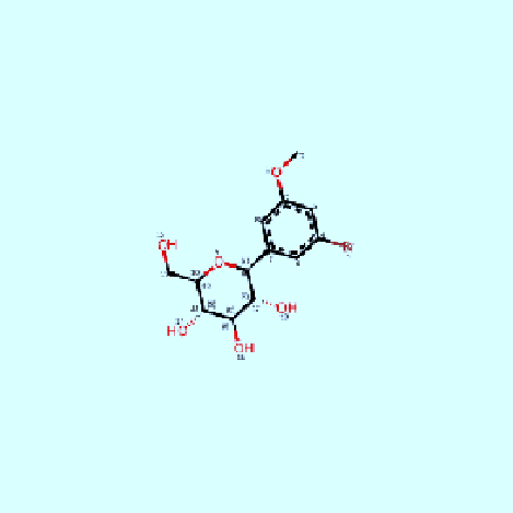 COc1cc(Br)cc([C@@H]2O[C@H](CO)[C@@H](O)[C@H](O)[C@H]2O)c1